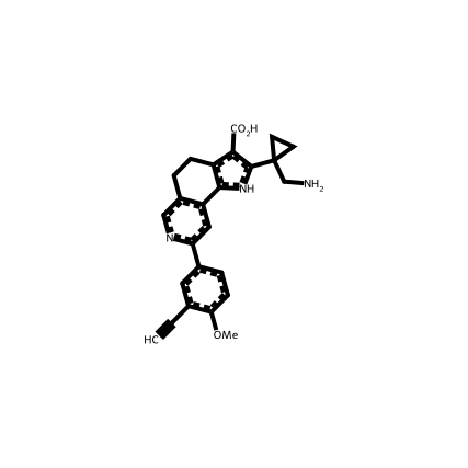 C#Cc1cc(-c2cc3c(cn2)CCc2c-3[nH]c(C3(CN)CC3)c2C(=O)O)ccc1OC